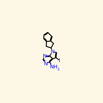 Nc1ncnc2c1c(I)cn2C1Cc2ccccc2C1